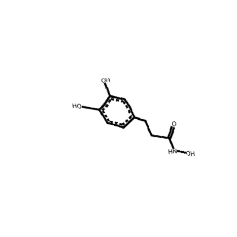 O=C(CCc1ccc(O)c(O)c1)NO